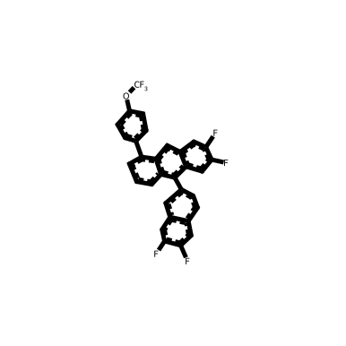 Fc1cc2ccc(-c3c4cc(F)c(F)cc4cc4c(-c5ccc(OC(F)(F)F)cc5)cccc34)cc2cc1F